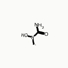 [CH2]N(O)C(N)=O